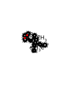 Cc1cc2c3c(c1)N1c4ccccc4Sc4ccccc4[Si](c4ccccc4)(c4ccccc4)c4ccc(c1c4)B3c1cc3sc4ccccc4c3cc1N2c1ccc(C2(C)CCCCC2)cc1